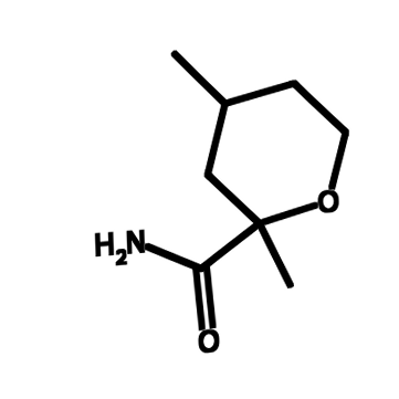 CC1CCOC(C)(C(N)=O)C1